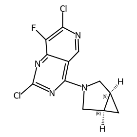 Fc1c(Cl)ncc2c(N3C[C@H]4C[C@H]4C3)nc(Cl)nc12